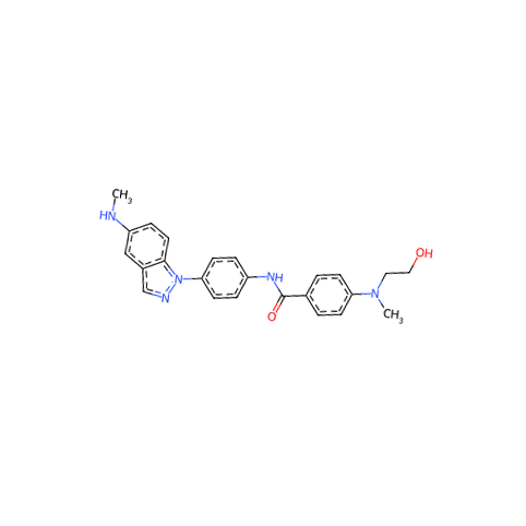 CNc1ccc2c(cnn2-c2ccc(NC(=O)c3ccc(N(C)CCO)cc3)cc2)c1